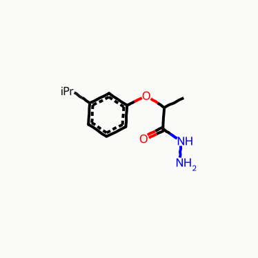 CC(Oc1cccc(C(C)C)c1)C(=O)NN